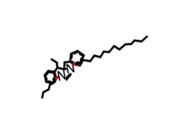 CCCCCCCCCCCCCCCN1C=CN(CCCCCC)C1(Cc1ccccc1)C(CC)c1ccccc1